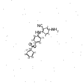 N#Cc1cc(N)ccc1Nc1ccc(OC(=O)c2ccccc2)cc1